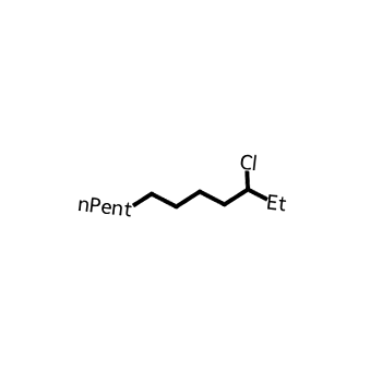 CCCCCCCCCC(Cl)CC